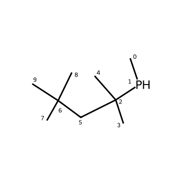 CPC(C)(C)CC(C)(C)C